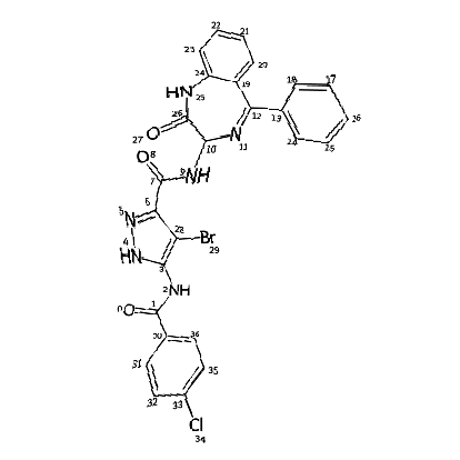 O=C(Nc1[nH]nc(C(=O)NC2N=C(c3ccccc3)c3ccccc3NC2=O)c1Br)c1ccc(Cl)cc1